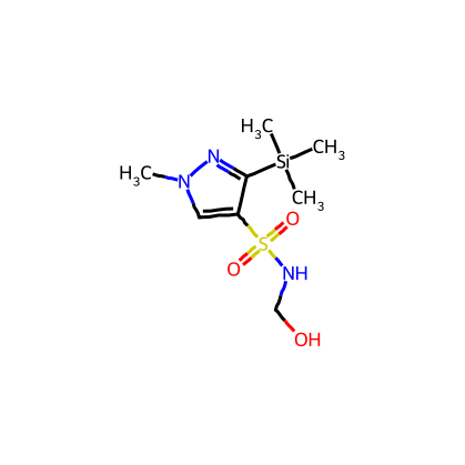 Cn1cc(S(=O)(=O)NCO)c([Si](C)(C)C)n1